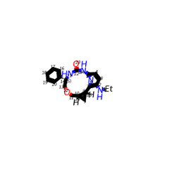 CCNc1ccc2nc1[C@@H]1C[C@@H]1COC[C@H](c1ccccc1)NC(=O)N2